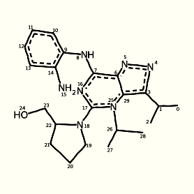 CC(C)c1nnc2c(Nc3ccccc3N)nc(N3CCCC3CO)n(C(C)C)c1-2